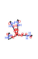 C=C(CCCC(=O)OCCOCC(COCCOC(=O)CCCC(=O)NCCNC(=O)C(C)(C)C)(COCCOC(=O)CCCC(=O)NCCNC(=O)C(C)(C)C)COCCOC(=O)CCCC(=O)NCCNC(=O)C(C)(C)C)NCCNC(=O)C(C)(C)C